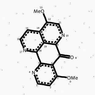 COc1ccnc2c1C(=O)c1ncc(OC)c3ccnc-2c13